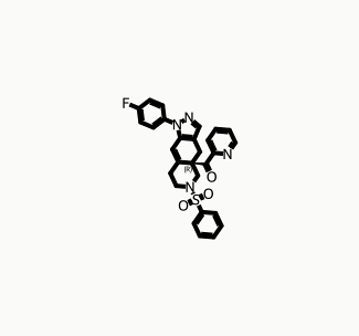 O=C(c1ccccn1)[C@]12Cc3cnn(-c4ccc(F)cc4)c3C=C1CCN(S(=O)(=O)c1ccccc1)C2